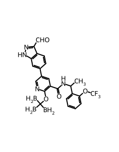 BC(B)(B)Oc1ncc(-c2ccc3c(C=O)n[nH]c3c2)cc1C(=O)NC(C)c1ccccc1OC(F)(F)F